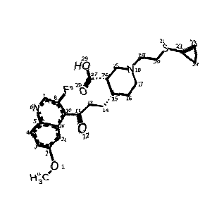 COc1ccc2ncc(F)c(C(=O)CC[C@H]3CCN(CCSC4CC4)C[C@H]3C(=O)O)c2c1